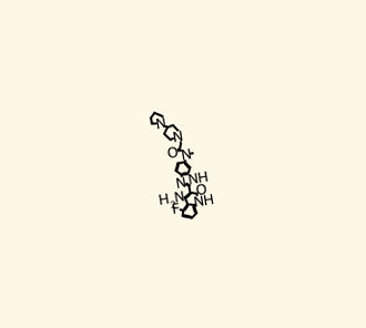 CN(C(=O)CN1CCC(N2CCCC2)CC1)c1ccc2nc(-c3c(N)c4c(F)cccc4[nH]c3=O)[nH]c2c1